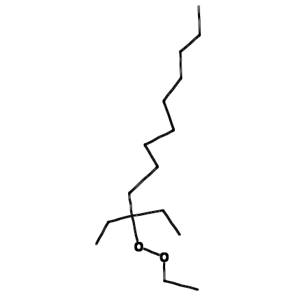 CCCCCCCCCC(CC)(CC)OOCC